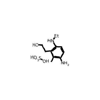 CCNc1ccc(N)c(C)c1CCO.O=S(=O)(O)O